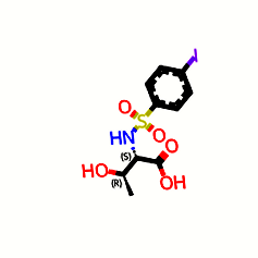 C[C@@H](O)[C@H](NS(=O)(=O)c1ccc(I)cc1)C(=O)O